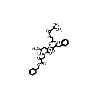 C=C(C)C1OC1NCC(=O)NC(Cc1ccccc1)C(=O)NC(CC(C)C)C(=O)NCC(=O)C(=O)OCc1ccccc1